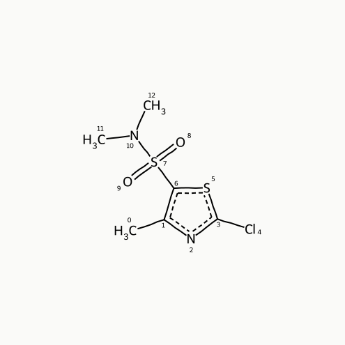 Cc1nc(Cl)sc1S(=O)(=O)N(C)C